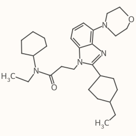 CCC1CCC(c2nc3c(N4CCOCC4)cccc3n2CCC(=O)N(CC)C2CCCCC2)CC1